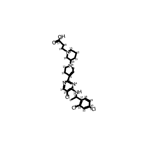 CC(Nc1nc(C2=CCN(C3CCCN(CCC(=O)O)C3)CC2)ncc1Cl)c1ccc(Cl)cc1Cl